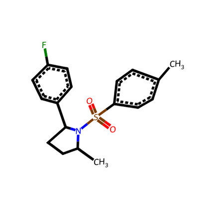 Cc1ccc(S(=O)(=O)N2C(C)CCC2c2ccc(F)cc2)cc1